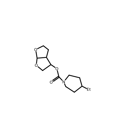 CCC1CCN(C(=O)OC2COC3OCCC23)CC1